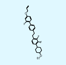 C=CCOc1ccc(-c2ccc(CCc3ccc(C4CCC(OCC)CC4)c(F)c3F)cc2)c(F)c1